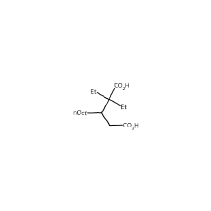 CCCCCCCCC(CC(=O)O)C(CC)(CC)C(=O)O